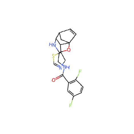 O=C(NCC1NC2C3C=CC(C3)(O1)C2C1CN=CS1)c1cc(F)ccc1F